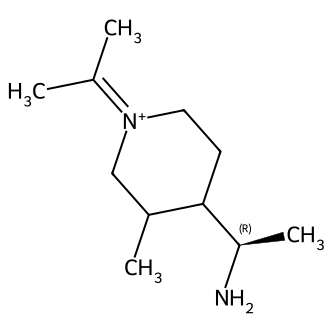 CC(C)=[N+]1CCC([C@@H](C)N)C(C)C1